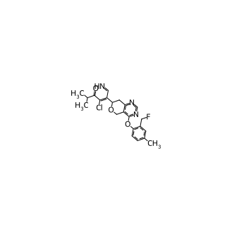 Cc1ccc(Oc2ncnc3c2COC(/C(C=N)=C(\Cl)C(=O)C(C)C)C3)c(CF)c1